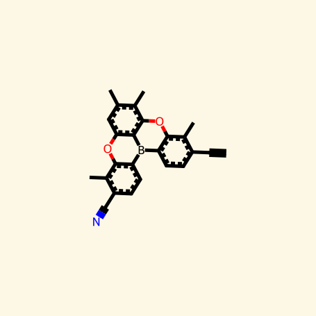 C#Cc1ccc2c(c1C)Oc1c(C)c(C)cc3c1B2c1ccc(C#N)c(C)c1O3